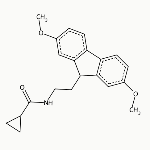 COc1ccc2c(c1)C(CCNC(=O)C1CC1)c1cc(OC)ccc1-2